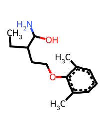 CCC(CCOc1c(C)cccc1C)C(N)O